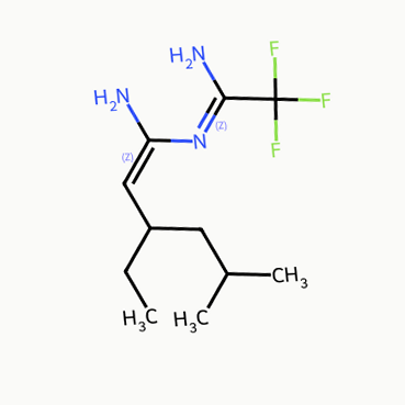 CCC(/C=C(N)\N=C(/N)C(F)(F)F)CC(C)C